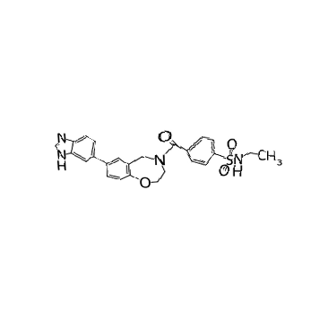 CCNS(=O)(=O)c1ccc(C(=O)N2CCOc3ccc(-c4ccc5nc[nH]c5c4)cc3C2)cc1